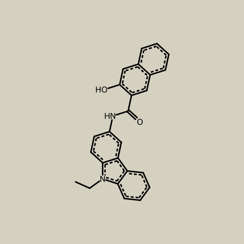 CCn1c2ccccc2c2cc(NC(=O)c3cc4ccccc4cc3O)ccc21